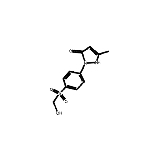 Cc1cc(=O)n(-c2ccc(S(=O)(=O)CO)cc2)[nH]1